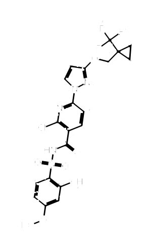 COc1ccc(S(=O)(=O)NC(=O)c2ccc(-n3ccc(OCC4(C(F)(F)F)CC4)n3)nc2Cl)c(C)c1